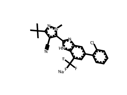 Cn1nc(C(C)(C)C)c(C#N)c1-c1nc2cc(-c3ccccc3Cl)cc(C(F)(F)F)c2[nH]1.[Na]